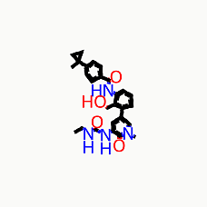 CCNC(=O)Nc1cc(-c2cccc(NC(=O)c3ccc(C4(C)CC4)cc3)c2CO)cn(C)c1=O